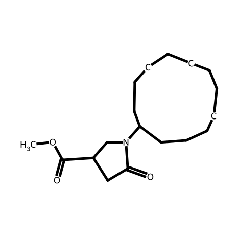 COC(=O)C1CC(=O)N(C2CCCCCCCCCCC2)C1